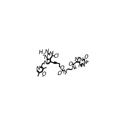 COc1c(C)cnc(Cn2cc(C#CCCOC(=O)N(C)CCN(C)C(=O)c3ncn4c(=O)n(C)nnc34)c3c(Cl)nc(N)nc32)c1C